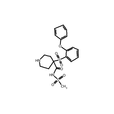 CS(=O)(=O)NC(=O)C1(S(=O)(=O)c2ccccc2Oc2ccccc2)CCNCC1